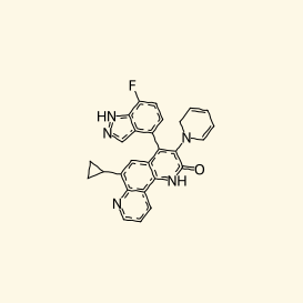 O=c1[nH]c2c(cc(C3CC3)c3ncccc32)c(-c2ccc(F)c3[nH]ncc23)c1N1C=CC=CC1